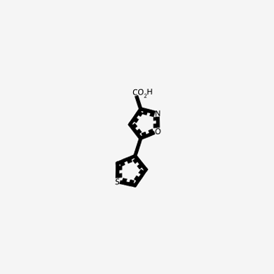 O=C(O)c1cc(-c2ccsc2)on1